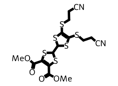 COC(=O)C1=C(C(=O)OC)SC(C2SC(SCCC#N)=C(SCCC#N)S2)S1